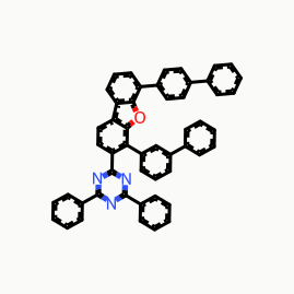 c1ccc(-c2ccc(-c3cccc4c3oc3c(-c5cccc(-c6ccccc6)c5)c(-c5nc(-c6ccccc6)nc(-c6ccccc6)n5)ccc34)cc2)cc1